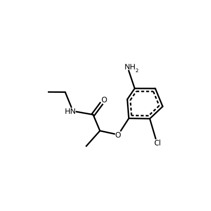 CCNC(=O)C(C)Oc1cc(N)ccc1Cl